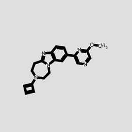 COc1cncc(-c2ccc3nc4n(c3c2)CCN(C2=CC=C2)CC4)n1